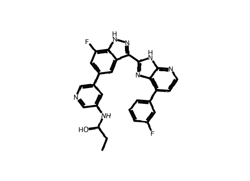 CCC(O)Nc1cncc(-c2cc(F)c3[nH]nc(-c4nc5c(-c6cccc(F)c6)ccnc5[nH]4)c3c2)c1